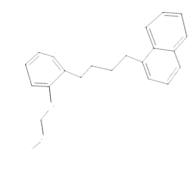 CCOCOc1ccccc1CCCCc1cccc2ccccc12